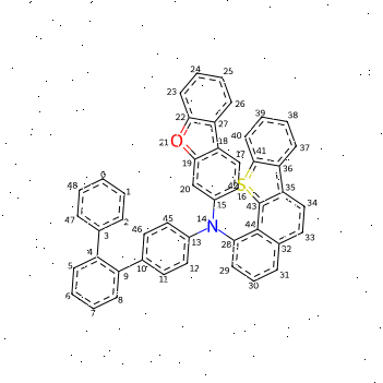 c1ccc(-c2ccccc2-c2ccc(N(c3ccc4c(c3)oc3ccccc34)c3cccc4ccc5c6ccccc6sc5c34)cc2)cc1